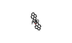 CC(F)(F)P(=O)(c1cc2ccc3cccc4ccc(c1)c2c34)c1cc2ccc3cccc4ccc(c1)c2c34